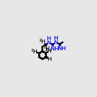 [2H]c1ccc([2H])c(CC([2H])([2H])NC(=N)NC(C)=N)c1[2H]